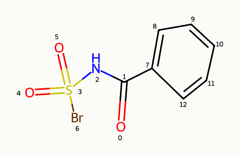 O=C(NS(=O)(=O)Br)c1ccccc1